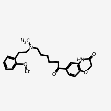 CCOc1ccccc1CCN(C)CCCCCC(=O)c1ccc2c(c1)NC(=O)CO2